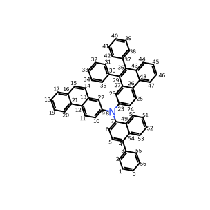 c1ccc(-c2ccc(N(c3ccc4c(ccc5ccccc54)c3)c3ccc4c(c3)c(-c3ccccc3)c(-c3ccccc3)c3ccccc34)c3ccccc23)cc1